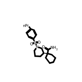 CCCc1ccc(S(=O)(=O)N2CCC[C@H](C3(C(N)=O)CCCCC3)C2)cc1